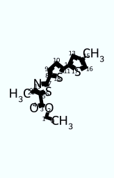 CCOC(=O)c1sc(-c2ccc(-c3cc(C)cs3)s2)nc1C